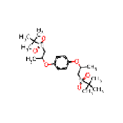 CC([CH2][Ti](=[O])(=[O])[C](C)(C)C)Oc1ccc(OC(C)[CH2][Ti](=[O])(=[O])[C](C)(C)C)cc1